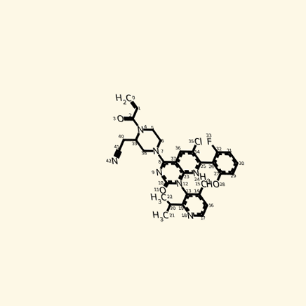 C=CC(=O)N1CCN(c2nc(=O)n(-c3c(C)ccnc3C(C)C)c3nc(-c4c(O)cccc4F)c(Cl)cc23)CC1CC#N